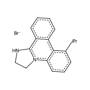 CC(C)c1cccc2c1c1ccccc1c1[n+]2CCN1.[Br-]